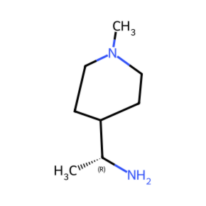 C[C@@H](N)C1CCN(C)CC1